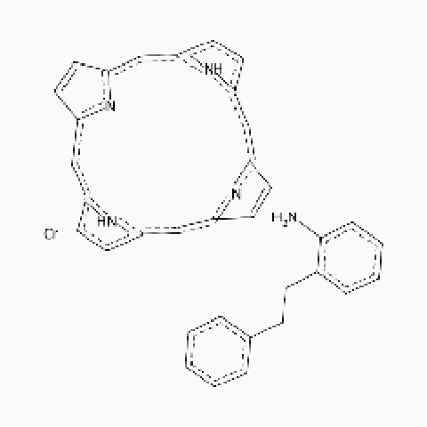 C1=Cc2cc3ccc(cc4nc(cc5ccc(cc1n2)[nH]5)C=C4)[nH]3.Nc1ccccc1CCc1ccccc1.[Cr]